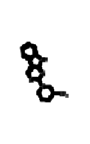 CC1CCCN(c2ncc3c(n2)[nH]c2ccccc23)C1